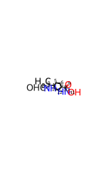 CC(NC=O)c1ccc(C(=O)NO)cc1